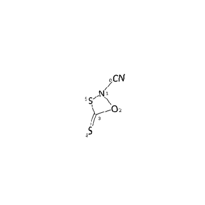 N#Cn1oc(=S)s1